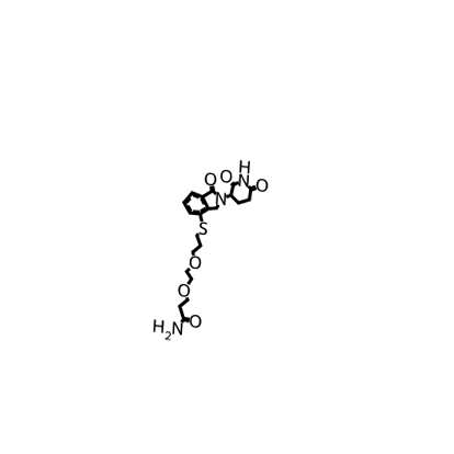 NC(=O)CCOCCOCCCSc1cccc2c1CN(C1CCC(=O)NC1=O)C2=O